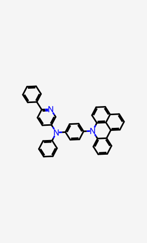 c1ccc(-c2ccc(N(c3ccccc3)c3ccc(N4c5ccccc5-c5cccc6cccc4c56)cc3)cn2)cc1